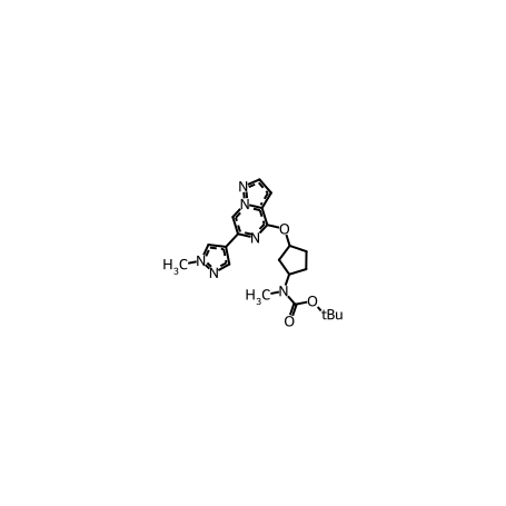 CN(C(=O)OC(C)(C)C)C1CCC(Oc2nc(-c3cnn(C)c3)cn3nccc23)C1